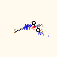 CCCN(C(=O)c1ccccc1C(=O)NCCNCCCCCCS)C1CCc2nc(N)sc2C1